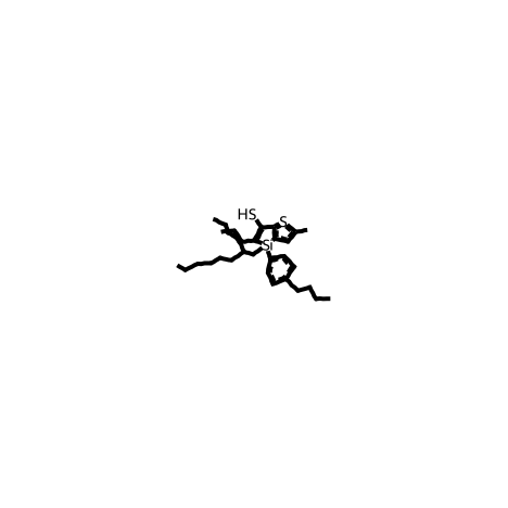 CC=CC1=C(S)c2sc(C)cc2[Si]1(CC(CCCC)CCCCCC)c1ccc(CCCC)cc1